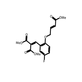 COC(=O)/C=C/COc1ccc(F)cc1C=C(C(=O)OC)C(=O)OC